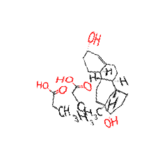 CCC(=O)O.CCC(=O)O.C[C@]12CC[C@H]3[C@@H](CCC4=C[C@@H](O)CC[C@@H]43)[C@@H]1CC[C@@H]2O